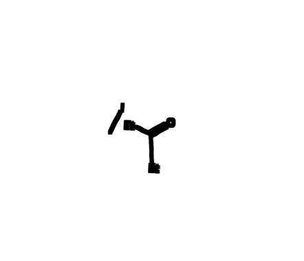 CCC(=O)CC.CI